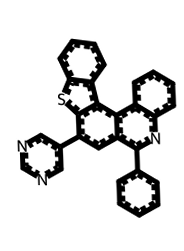 c1ccc(-c2nc3ccccc3c3c2cc(-c2cncnc2)c2sc4ccccc4c23)cc1